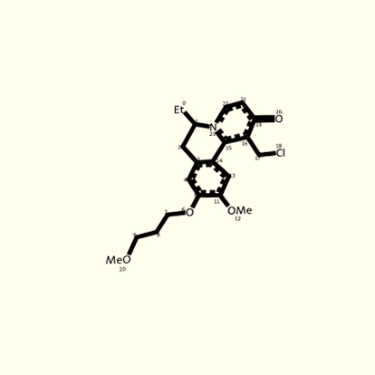 CCC1Cc2cc(OCCCOC)c(OC)cc2-c2c(CCl)c(=O)ccn21